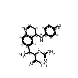 CC(=O)C(OC(N)=O)C(C)c1ccc2c(c1)C(Nc1ccc(Cl)cc1)CC=N2